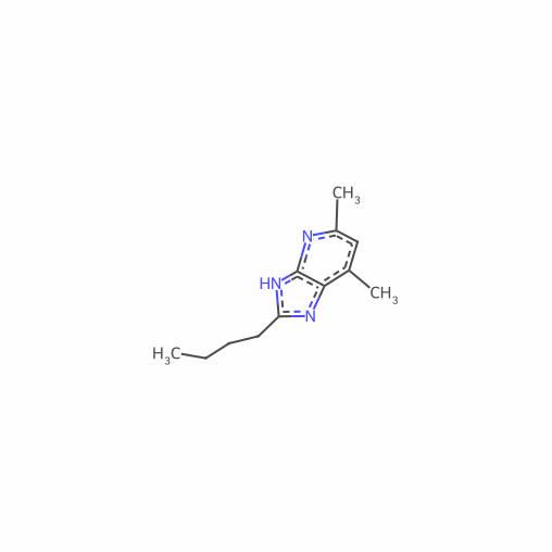 CCCCc1nc2c(C)cc(C)nc2[nH]1